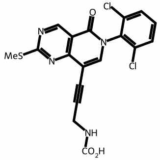 CSc1ncc2c(=O)n(-c3c(Cl)cccc3Cl)cc(C#CCNC(=O)O)c2n1